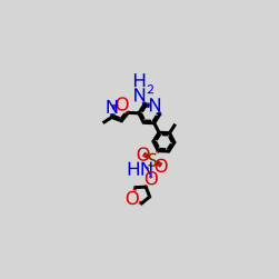 Cc1cc(-c2cc(-c3cc(S(=O)(=O)NOC4CCOC4)ccc3C)cnc2N)on1